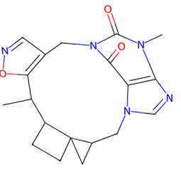 CC1c2oncc2Cn2c(=O)c3c(ncn3CC3CC34CCC14)n(C)c2=O